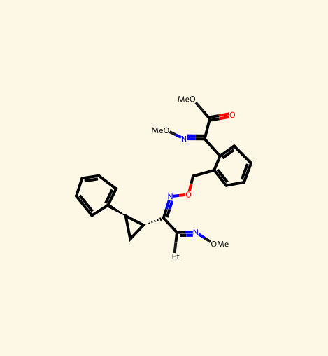 CCC(=NOC)C(=NOCc1ccccc1C(=NOC)C(=O)OC)[C@@H]1C[C@H]1c1ccccc1